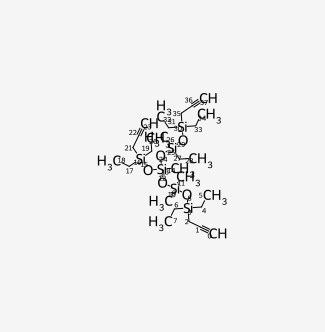 C#CC[Si](CC)(CC)O[Si](C)(C)O[Si](C)(O[Si](CC)(CC)CC#C)O[Si](C)(CC)O[Si](CC)(CC)CC#C